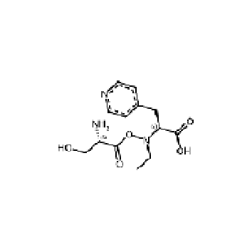 CCN(OC(=O)[C@@H](N)CO)[C@@H](Cc1ccncc1)C(=O)O